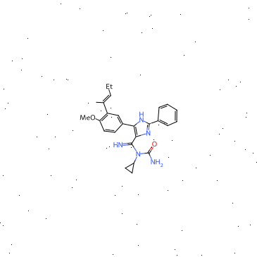 CC/C=C(\C)c1cc(-c2[nH]c(-c3ccccc3)nc2C(=N)N(C(N)=O)C2CC2)ccc1OC